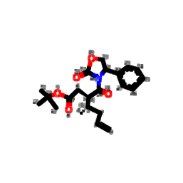 C=CC[C@H](C)[C@@H](CC(=O)OC(C)(C)C)C(=O)N1C(=O)OCC1c1ccccc1